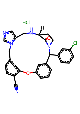 Cl.N#Cc1ccc2cc1Oc1cccc(c1)C(c1cccc(Cl)c1)N1CC[C@@H](NCc3cncn3C2)C1=O